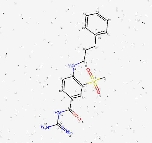 CS(=O)(=O)c1cc(C(=O)NC(=N)N)ccc1NCCCc1ccccc1